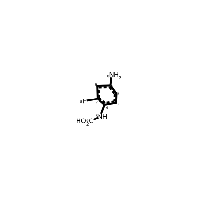 Nc1ccc(NC(=O)O)c(F)c1